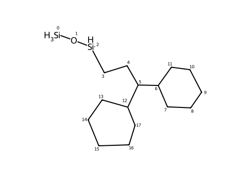 [SiH3]O[SiH]CCC(C1CCCCC1)C1CCCCC1